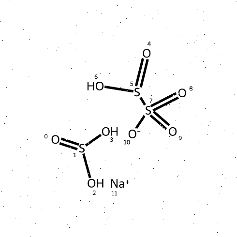 O=S(O)O.O=S(O)S(=O)(=O)[O-].[Na+]